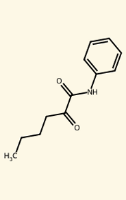 CCCCC(=O)C(=O)Nc1ccccc1